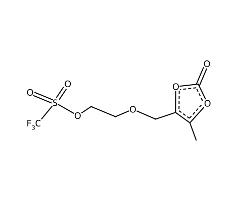 Cc1oc(=O)oc1COCCOS(=O)(=O)C(F)(F)F